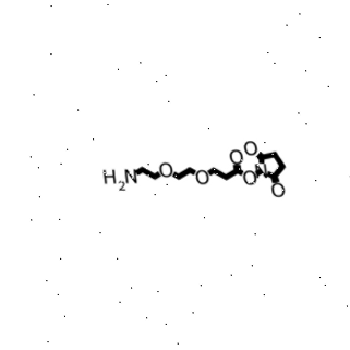 NCCOCCOCCC(=O)ON1C(=O)CCC1=O